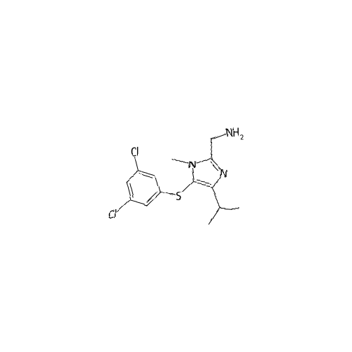 CC(C)c1nc(CN)n(C)c1Sc1cc(Cl)cc(Cl)c1